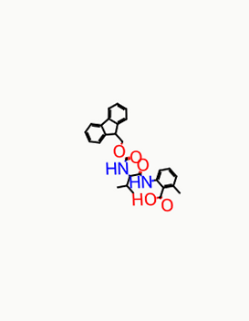 Cc1cccc(NC(=O)[C@@H](NC(=O)OCC2c3ccccc3-c3ccccc32)C(C)C)c1C(=O)O